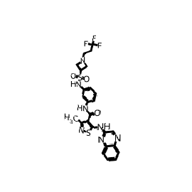 Cc1nsc(Nc2cnc3ccccc3n2)c1C(=O)Nc1cccc(NS(=O)(=O)C2CN(CCC(F)(F)F)C2)c1